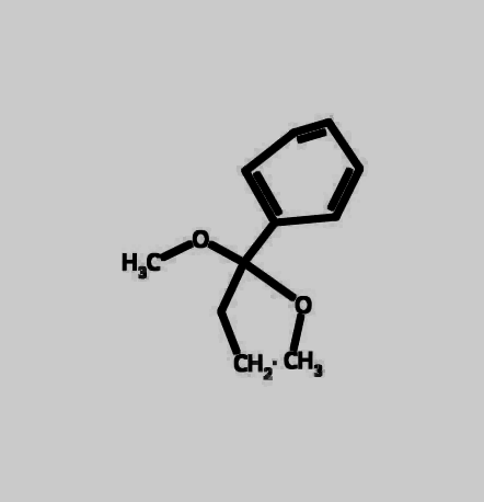 [CH2]CC(OC)(OC)c1ccccc1